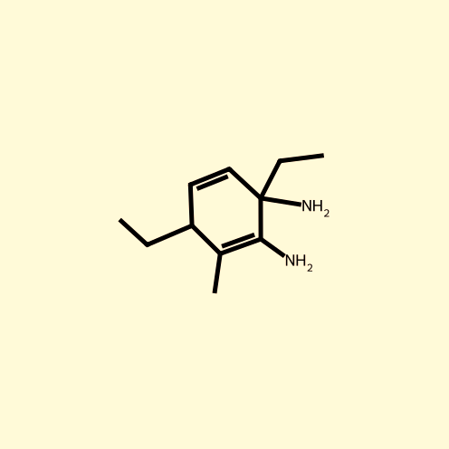 CCC1C=CC(N)(CC)C(N)=C1C